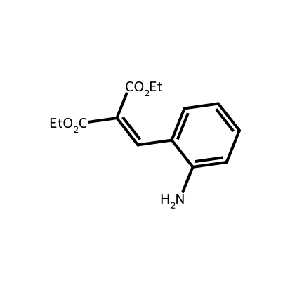 CCOC(=O)C(=Cc1ccccc1N)C(=O)OCC